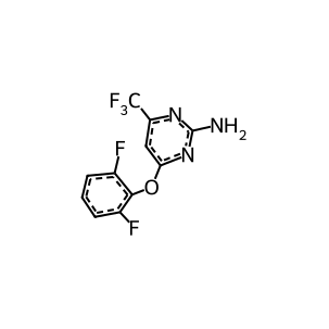 Nc1nc(Oc2c(F)cccc2F)cc(C(F)(F)F)n1